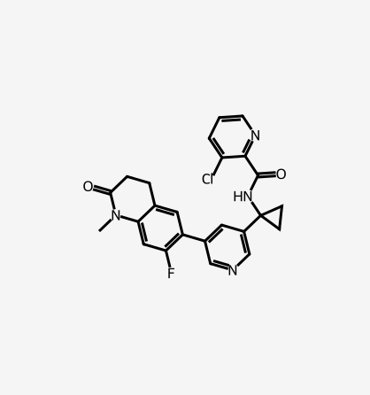 CN1C(=O)CCc2cc(-c3cncc(C4(NC(=O)c5ncccc5Cl)CC4)c3)c(F)cc21